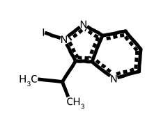 CC(C)c1c2ncccc2nn1I